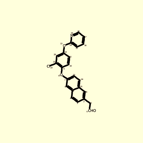 O=CCc1ccc2cc(Oc3ccc(Oc4ccccn4)cc3Cl)ccc2c1